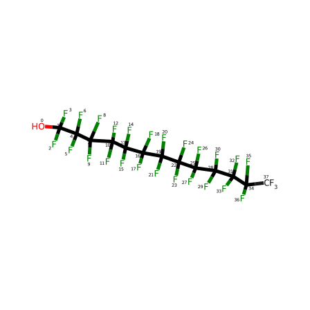 OC(F)(F)C(F)(F)C(F)(F)C(F)(F)C(F)(F)C(F)(F)C(F)(F)C(F)(F)C(F)(F)C(F)(F)C(F)(F)C(F)(F)C(F)(F)F